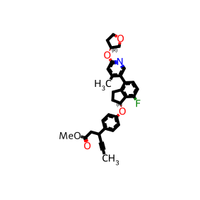 CC#CC(CC(=O)OC)c1ccc(O[C@@H]2CCc3c(-c4cnc(O[C@@H]5CCOC5)cc4C)ccc(F)c32)cc1